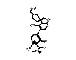 CN(C)C(=O)c1c(N)ccc(-c2cnc3c(c2Cl)C2(CCC(CO)C2)CN3)c1F